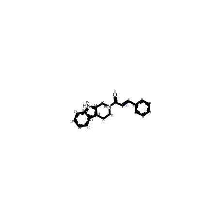 O=C(/C=C/c1ccccc1)N1CCc2c([nH]c3ccccc23)C1